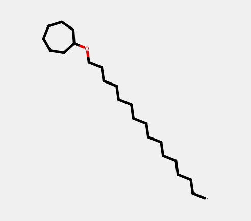 [CH2]CCCCCCCCCCCCCCCOC1CC[CH]CCC1